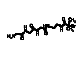 CC(C)(Br)C(=O)NCCNC(=O)CNC(=O)CNC(=O)CN